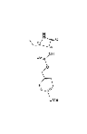 COc1ccc(COC(=O)N[C@H]2C(=O)N[C@H]2CI)cc1